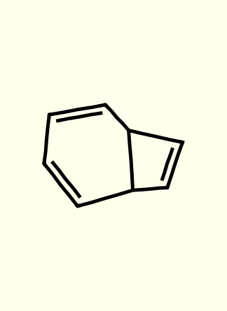 C1=CC2C=CC2C=C1